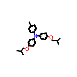 Cc1ccc(N(c2ccc(OCC(C)C)cc2)c2ccc(OCC(C)C)cc2)cc1